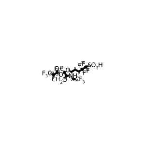 C=C(C(=O)OC(OCCCC(F)(F)C(F)(F)S(=O)(=O)O)(C(=O)NCC(F)(F)F)C(F)(F)F)C(F)(F)F